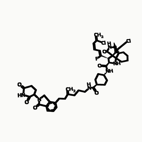 C=C(Cl)/C=C\C=C(/F)[C@H]1[C@H](C(=O)N[C@H]2CC[C@H](C(=O)NCCCC(=C)CCc3cccc4c3CN(C3CCC(=O)NC3=O)C4=O)CC2)NC2(CCCCC2)[C@@]12C(=O)Nc1cc(Cl)ccc12